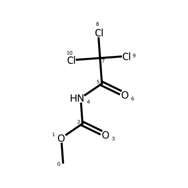 COC(=O)NC(=O)C(Cl)(Cl)Cl